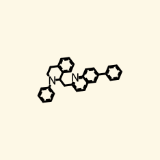 c1ccc(-c2ccc3nc(CC4c5ccccc5CCN4c4ccccc4)ccc3c2)cc1